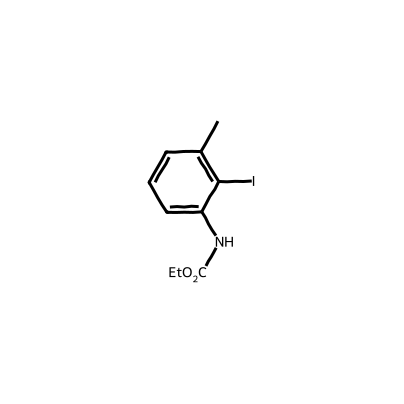 CCOC(=O)Nc1cccc(C)c1I